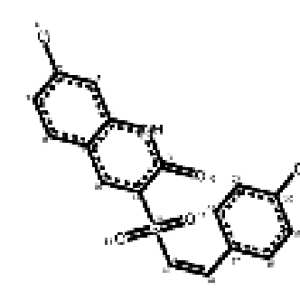 O=c1[nH]c2cc(Cl)ccc2cc1S(=O)(=O)/C=C\c1ccc(Cl)cc1